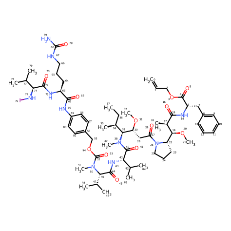 C=CCOC(=O)[C@H](Cc1ccccc1)NC(=O)[C@H](C)[C@@H](OC)[C@@H]1CCCN1C(=O)C[C@@H](OC)[C@H]([C@@H](C)CC)N(C)C(=O)[C@@H](NC(=O)[C@H](C(C)C)N(C)C(=O)OCc1ccc(NC(=O)[C@H](CCCNC(N)=O)NC(=O)[C@@H](NI)C(C)C)cc1)C(C)C